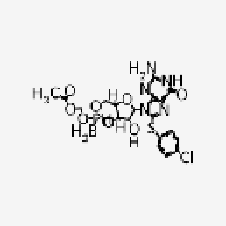 B[PH]1(OCOC(C)=O)OC[C@H]2O[C@@H](n3c(Sc4ccc(Cl)cc4)nc4c(=O)[nH]c(N)nc43)[C@@H](O)[C@H]2O1